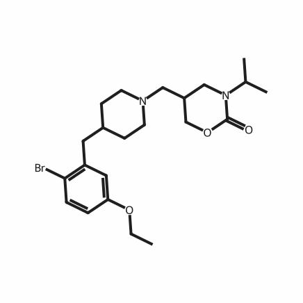 CCOc1ccc(Br)c(CC2CCN(CC3COC(=O)N(C(C)C)C3)CC2)c1